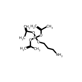 C=C(C)O[Si](OCCCN)(OC(=C)C)OC(=C)C